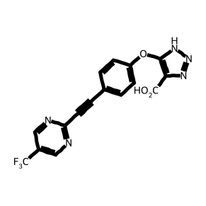 O=C(O)c1nn[nH]c1Oc1ccc(C#Cc2ncc(C(F)(F)F)cn2)cc1